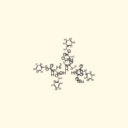 C[C@@H](NC(=O)[C@@H](CSC[C@H](NC(=O)OCc1ccccc1)C(O)OCc1ccccc1)NC(=O)CC[C@@H](NC(=O)OC(C)(C)C)C(=O)OCc1ccccc1)C(=O)OCc1ccccc1